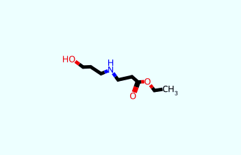 CCOC(=O)CCNCCCO